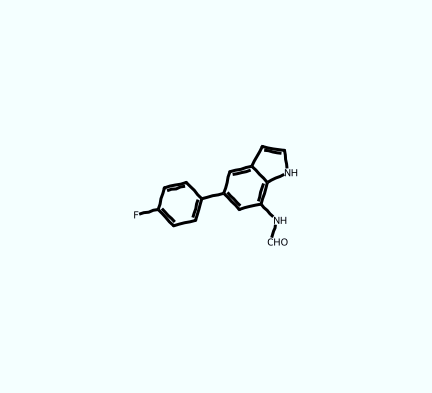 O=CNc1cc(-c2ccc(F)cc2)cc2cc[nH]c12